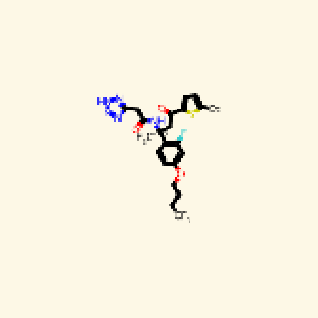 CCc1ccc(C(=O)C[C@](NC(=O)Cc2nn[nH]n2)(c2ccc(OCCCC(F)(F)F)cc2F)C(F)(F)F)s1